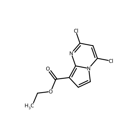 CCOC(=O)c1ccn2c(Cl)cc(Cl)nc12